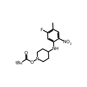 Cc1cc([N+](=O)[O-])c(NC2CCN(OC(=O)C(C)(C)C)CC2)cc1F